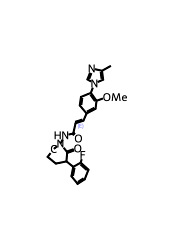 COc1cc(/C=C/C(=O)NN2CCCC(c3ccccc3F)C2=O)ccc1-n1cnc(C)c1